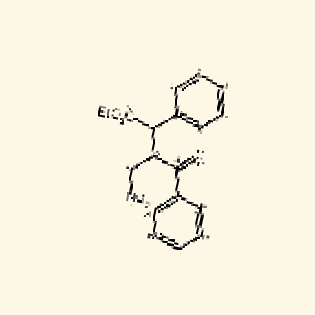 CCOC(=O)C(c1ccccc1)C(C[N+](=O)[O-])C(=O)c1ccccc1